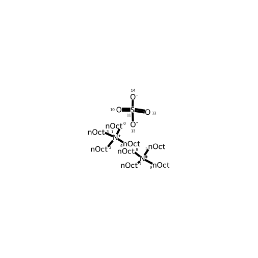 CCCCCCCC[N+](CCCCCCCC)(CCCCCCCC)CCCCCCCC.CCCCCCCC[N+](CCCCCCCC)(CCCCCCCC)CCCCCCCC.O=S(=O)([O-])[O-]